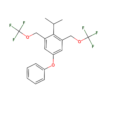 CC(C)c1c(COC(F)(F)F)cc(Oc2ccccc2)cc1COC(F)(F)F